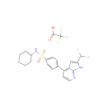 O=C(O)C(F)(F)F.O=S(=O)(NC1CCCCC1)c1ccc(-c2ccnc3[nH]c(C(F)F)cc23)cc1